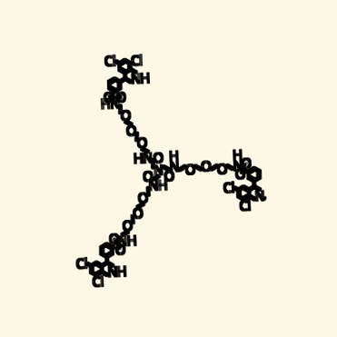 CN1Cc2c(Cl)cc(Cl)cc2C(c2cccc(S(=O)(=O)NCCOCCOCCOCCNC(=O)CN(CC(=O)NCCOCCOCCOCCNS(=O)(=O)c3cccc(C4CNCc5c(Cl)cc(Cl)cc54)c3)CC(=O)NCCOCCOCCOCCNS(=O)(=O)c3cccc(C4CNCc5c(Cl)cc(Cl)cc54)c3)c2)C1